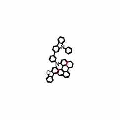 c1ccc(-n2c3ccccc3c3ccc(-c4cccc(N(c5ccc6c(c5)oc5ccccc56)c5ccccc5-c5cccc6cccc(C7CCCCC7)c56)c4)cc32)cc1